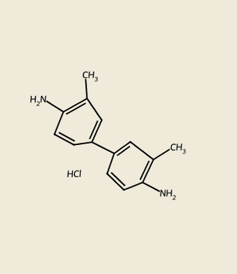 Cc1cc(-c2ccc(N)c(C)c2)ccc1N.Cl